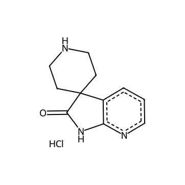 Cl.O=C1Nc2ncccc2C12CCNCC2